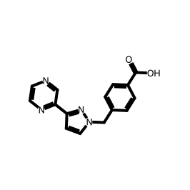 O=C(O)c1ccc(Cn2ccc(-c3cnccn3)n2)cc1